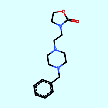 O=C1OCCN1CCN1CCN(Cc2ccccc2)CC1